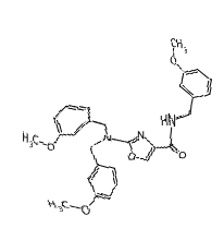 COc1cccc(CNC(=O)c2coc(N(Cc3cccc(OC)c3)Cc3cccc(OC)c3)n2)c1